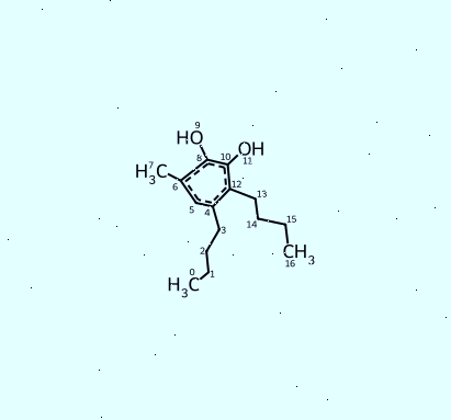 CCCCc1cc(C)c(O)c(O)c1CCCC